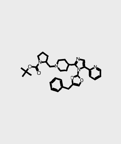 CC(C)(C)OC(=O)N1CCCC1CN1CCC(c2ncc(-c3ccccn3)n2C2OC=C(Cc3ccccc3)O2)CC1